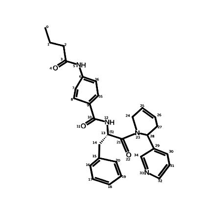 CCCC(=O)Nc1ccc(C(=O)N[C@@H](Cc2ccccc2)C(=O)N2CC=CCC2c2cccnc2)cc1